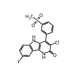 CS(=O)(=O)c1cccc(-c2c(Cl)c(=O)[nH]c3c2[nH]c2ccc(F)cc23)c1